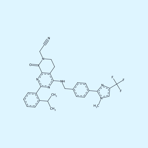 CC(C)c1ccccc1-c1nc(NCc2ccc(-c3nc(C(F)(F)F)cn3C)cc2)c2c(n1)C(=O)N(CC#N)CC2